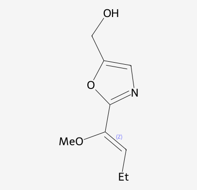 CC/C=C(\OC)c1ncc(CO)o1